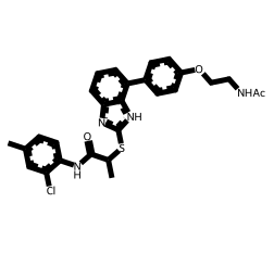 CC(=O)NCCOc1ccc(-c2cccc3nc(SC(C)C(=O)Nc4ccc(C)cc4Cl)[nH]c23)cc1